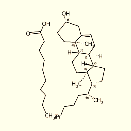 CC(C)CCC[C@@H](C)[C@H]1CC[C@H]2[C@@H]3CC=C4C[C@@H](O)CC[C@]4(C)[C@H]3CC[C@]12C.CCCCCCCCCC(=O)O